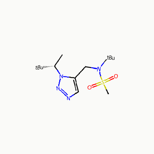 C[C@H](n1nncc1CN(C(C)(C)C)S(C)(=O)=O)C(C)(C)C